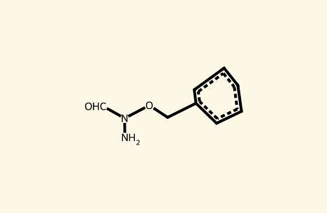 NN(C=O)OCc1ccccc1